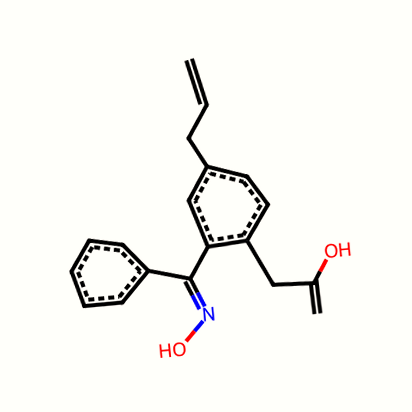 C=CCc1ccc(CC(=C)O)c(C(=NO)c2ccccc2)c1